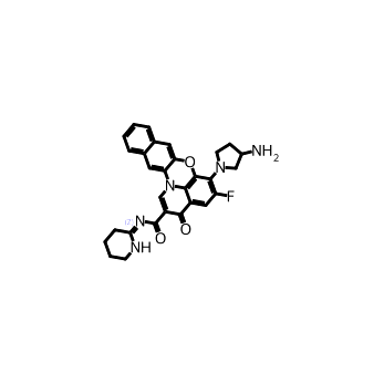 NC1CCN(c2c(F)cc3c(=O)c(C(=O)/N=C4/CCCCN4)cn4c3c2Oc2cc3ccccc3cc2-4)C1